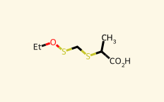 CCOSCSC(C)C(=O)O